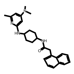 Cc1cc(N(C)C)cc(NC2CCC(NC(=O)Cc3cccc4ccccc34)CC2)n1